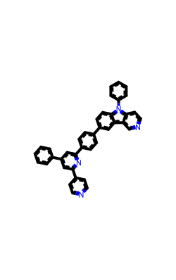 c1ccc(-c2cc(-c3ccncc3)nc(-c3ccc(-c4ccc5c(c4)c4cnccc4n5-c4ccccc4)cc3)c2)cc1